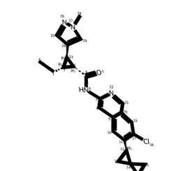 CC[C@H]1[C@@H](C(=O)Nc2cc3cc([C@@H]4CC45CC5)c(Cl)cc3cn2)[C@@H]1c1cnn(C)c1